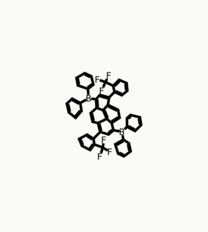 FC(F)(F)c1ccccc1-c1cc(B(c2ccccc2)c2ccccc2)c2ccc3c(-c4ccccc4C(F)(F)F)cc(B(c4ccccc4)c4ccccc4)c4ccc1c2c43